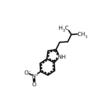 CC(C)CCc1cc2cc([N+](=O)[O-])ccc2[nH]1